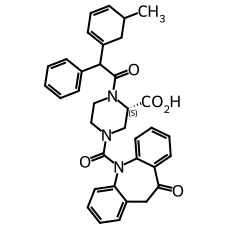 CC1C=CC=C(C(C(=O)N2CCN(C(=O)N3c4ccccc4CC(=O)c4ccccc43)C[C@H]2C(=O)O)c2ccccc2)C1